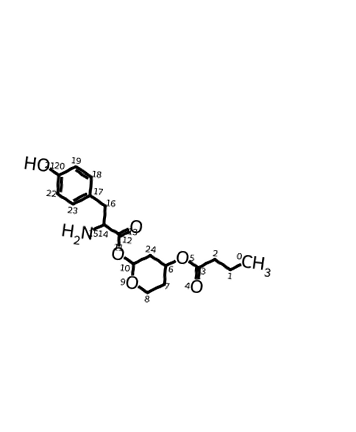 CCCC(=O)OC1CCOC(OC(=O)C(N)Cc2ccc(O)cc2)C1